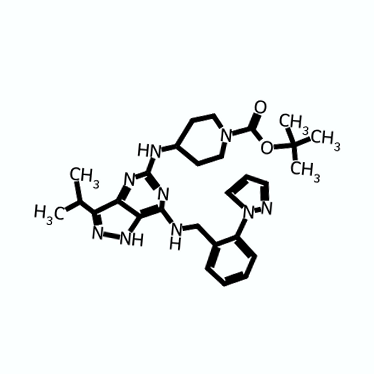 CC(C)c1n[nH]c2c(NCc3ccccc3-n3cccn3)nc(NC3CCN(C(=O)OC(C)(C)C)CC3)nc12